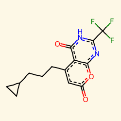 O=c1cc(CCCC2CC2)c2c(=O)[nH]c(C(F)(F)F)nc2o1